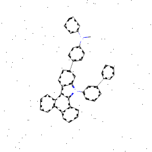 CN(c1ccccc1)c1ccc(-c2ccc3c4c5ccccc5c5ccccc5c4n(-c4cccc(-c5ccccc5)c4)c3c2)cc1